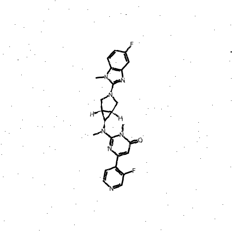 CN(c1nc(-c2ccncc2F)cc(=O)n1C)[C@H]1[C@@H]2CN(c3nc4cc(F)ccc4n3C)C[C@@H]21